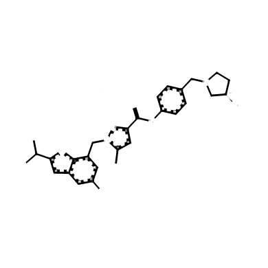 Cc1cc(C(=O)Nc2ccc(CN3CC[C@@H](O)C3)cc2)nn1Cc1cc(Cl)cc2cc(C(C)C)oc12.Cl